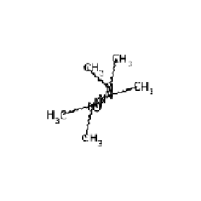 CCCCCCCCCCCCCN(CCCCCCCCCCCC)CC(=O)N1CCN(CCN(CCCCCCCCCCCC)CCN(CCCCCCCCCCCC)CCCCCCCCCCCC)CC1